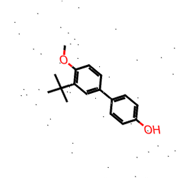 COc1ccc(-c2ccc(O)cc2)cc1C(C)(C)C